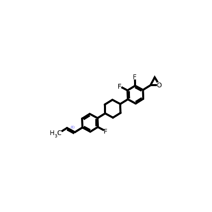 C/C=C/c1ccc(C2CCC(c3ccc(C4CO4)c(F)c3F)CC2)c(F)c1